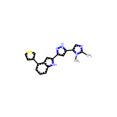 Cc1ncc(-c2cc(-c3cc4c(-c5ccsc5)cccc4[nH]3)n[nH]2)n1C